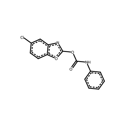 O=C(Nc1ccccc1)Oc1nc2cc(Cl)ccc2o1